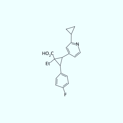 CCC1(C(=O)O)C(c2ccc(F)cc2)C1c1ccnc(C2CC2)c1